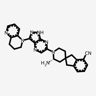 N#Cc1cccc2c1CC1(CCN(c3cnc4c(N5CCCc6ncccc65)n[nH]c4n3)[C@@H](N)C1)C2